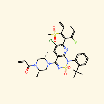 C=CC(=O)N1C[C@H](C)N(C2=NS(=O)(=O)N(c3ccccc3C(C)(C)C)c3nc(C(/C(F)=C\C)=C(/C=C)S(C)(=O)=O)c(Cl)cc32)C[C@H]1C